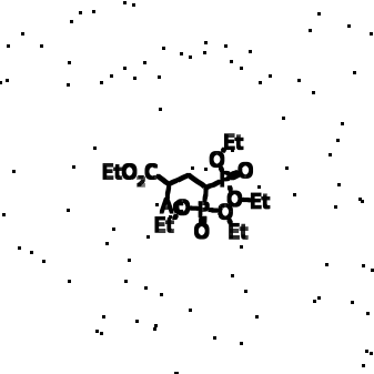 CCOC(=O)C(CC(P(=O)(OCC)OCC)P(=O)(OCC)OCC)C(C)=O